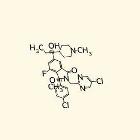 CC[C@](O)(c1cc(F)c2c(c1)C(=O)N(Cc1ncc(Cl)cn1)[C@@]2(OC)c1ccc(Cl)cc1)C1CCN(C)CC1